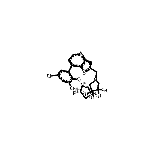 [2H]C1([2H])CN(Cc2cc3nccc(-c4cc(Cl)cc(C)c4O[C@@H]4CNC[C@@H]4F)c3s2)CC1([2H])[2H]